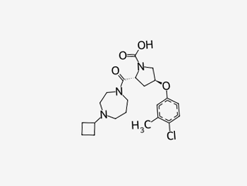 Cc1cc(O[C@H]2C[C@H](C(=O)N3CCCN(C4CCC4)CC3)N(C(=O)O)C2)ccc1Cl